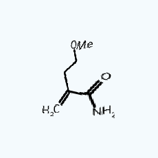 C=C(CCOC)C(N)=O